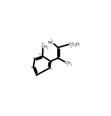 CCOC(=O)C(C#N)=C(C)c1ccccc1C